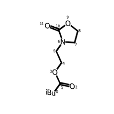 CCC(C)C(=O)OCCN1CCOC1=O